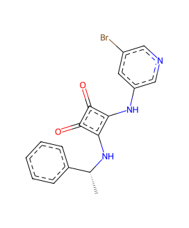 C[C@@H](Nc1c(Nc2cncc(Br)c2)c(=O)c1=O)c1ccccc1